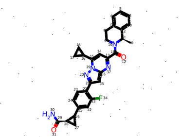 C[C@@H]1c2ccccc2CCN1C(=O)c1cc(C2CC2)n2nc(-c3ccc(C4C[C@H]4C(N)=O)cc3F)cc2n1